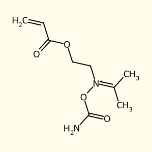 C=CC(=O)OCC[N+](OC(N)=O)=C(C)C